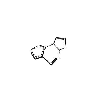 C1=CC2c3[nH]ncc3C=NC2N1